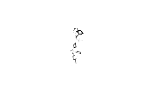 CCOc1ccc(-c2nnc([C@H]3C[C@H](NC(=O)c4cccc5cccnc45)C3)n2-c2ccc(C)s2)nc1